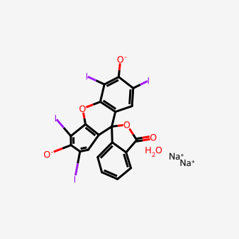 O.O=C1OC2(c3ccccc31)c1cc(I)c([O-])c(I)c1Oc1c2cc(I)c([O-])c1I.[Na+].[Na+]